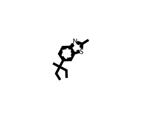 CCC(C)(CC)c1ccc2nc(C)sc2c1